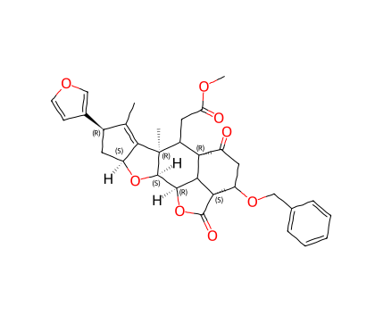 COC(=O)CC1[C@@]2(C)C(=O)CC(OCc3ccccc3)[C@@]3(C)C(=O)O[C@H](C23)[C@H]2O[C@H]3C[C@@H](c4ccoc4)C(C)=C3[C@@]12C